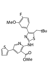 COC(=O)c1cc(-c2cccs2)cnc1Nc1nc(-c2ccc(F)c(OC)c2)c(CC(C)(C)C)s1